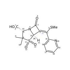 CS/C(=C1\C(=O)N2[C@@H](C(=O)O)C(C)(C)S(=O)(=O)[C@H]12)c1ccccn1